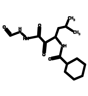 CC(C)CC(NC(=O)C1CCCCC1)C(=O)C(=O)NNC=O